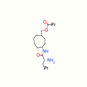 CC(C)C[C@@H](N)C(=O)NC1CCCCC(COC(=O)C(C)C)CC1